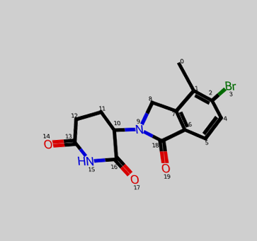 Cc1c(Br)ccc2c1CN(C1CCC(=O)NC1=O)C2=O